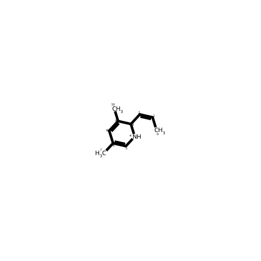 C/C=C\C1NC=C(C)C=C1C